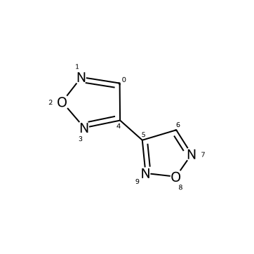 c1nonc1-c1cnon1